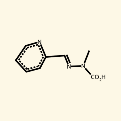 CN(/N=C/c1ccccn1)C(=O)O